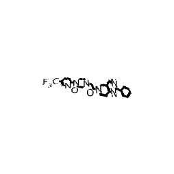 O=C(CN1CCN(c2ccc(C(F)(F)F)cn2)C(=O)C1)N1CCc2nc(-c3ccccc3)ncc2C1